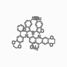 Cc1cc2c3c(c1)N(c1cc4c(cc1-c1ccccc1)OCCO4)c1oc4ccc(C(C)(C)C)cc4c1B3c1c(oc3ccc(C(C)(C)C)cc13)N2c1cc2c(cc1-c1ccccc1)OCCO2